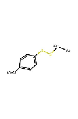 COc1ccc(SS[13CH2][13C](C)=O)cc1